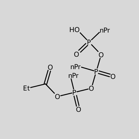 CCCP(=O)(O)OP(=O)(CCC)OP(=O)(CCC)OC(=O)CC